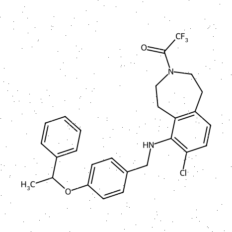 CC(Oc1ccc(CNc2c(Cl)ccc3c2CCN(C(=O)C(F)(F)F)CC3)cc1)c1ccccc1